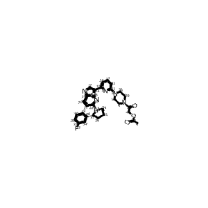 CC(=O)OCC(=O)N1CCN(c2cccc(-c3cnc4ccc(N5CCC[C@@H]5c5cccc(F)c5)nn34)n2)CC1